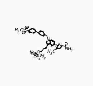 Cc1cc(C(N)=O)nn1-c1ccc2c(c1)c(/C=C/CO[Si](C)(C)C(C)(C)C)cn2Cc1ccc(-c2ccc(S(C)(=O)=O)cc2)cc1